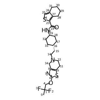 CC(F)(F)COc1nc2c(s1)CCN(CC[C@H]1CC[C@H](NC(=O)c3scc4c3CCCC4)CC1)C2